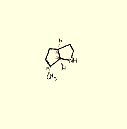 C[C@@H]1CC[C@H]2CCN[C@H]21